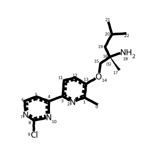 Cc1nc(-c2ccnc(Cl)n2)ccc1OC[C@@](C)(N)CC(C)C